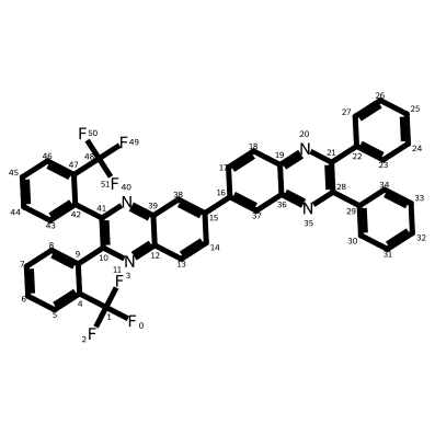 FC(F)(F)c1ccccc1-c1nc2ccc(-c3ccc4nc(-c5ccccc5)c(-c5ccccc5)nc4c3)cc2nc1-c1ccccc1C(F)(F)F